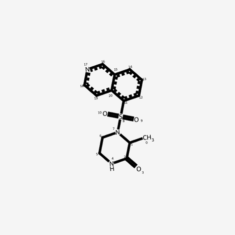 CC1C(=O)NCCN1S(=O)(=O)c1cccc2cnccc12